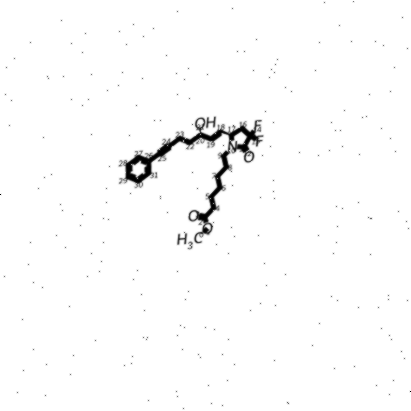 COC(=O)CCCCCCN1C(=O)C(F)(F)C[C@@H]1C=C[C@@H](O)CCC#Cc1ccccc1